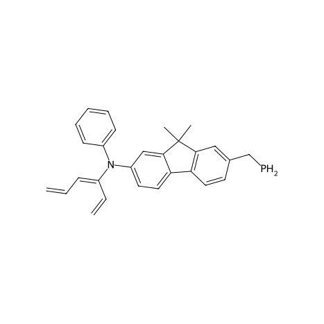 C=C/C=C(\C=C)N(c1ccccc1)c1ccc2c(c1)C(C)(C)c1cc(CP)ccc1-2